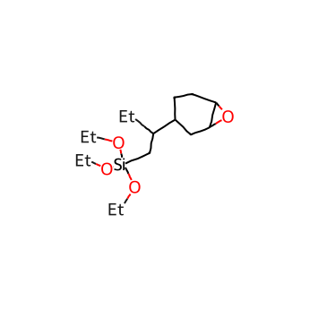 CCO[Si](CC(CC)C1CCC2OC2C1)(OCC)OCC